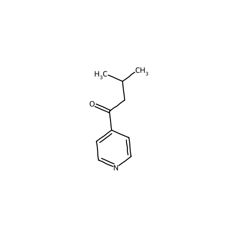 CC(C)CC(=O)c1ccncc1